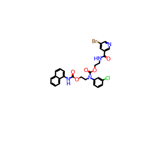 O=C(Nc1cccc2ccccc12)OCCN(C(=O)OCCNC(=O)c1cncc(Br)c1)c1cccc(Cl)c1